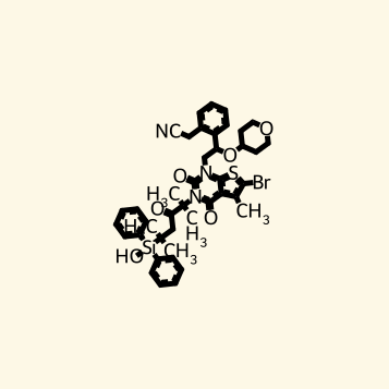 Cc1c(Br)sc2c1c(=O)n(C(C)(C)C(=O)CC(C)(C)[Si](O)(c1ccccc1)c1ccccc1)c(=O)n2CC(OC1CCOCC1)c1ccccc1CC#N